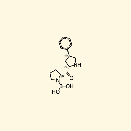 O=C([C@@H]1C[C@@H](c2ccccc2)CN1)[C@H]1CCCN1B(O)O